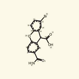 NC(=O)c1ccc2c(c1)C(C(=O)O)c1cc(Br)ccc1O2